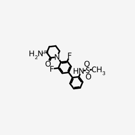 CS(=O)(=O)Nc1ccccc1-c1cc(F)c(N2CCC[C@@H](N)C2=O)c(F)c1